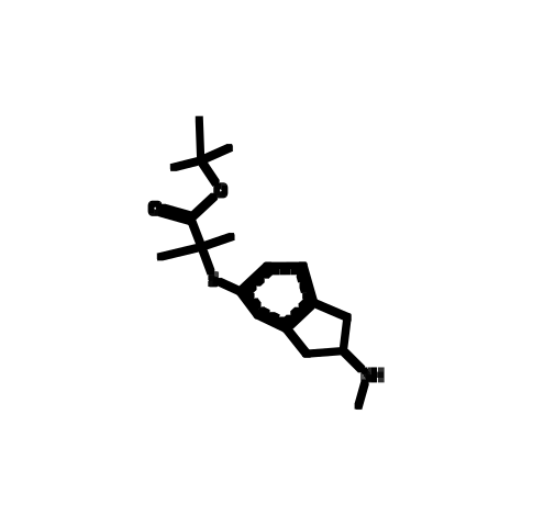 CNC1Cc2ccc(SC(C)(C)C(=O)OC(C)(C)C)cc2C1